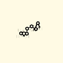 CB1Sc2ccccc2Oc2c1cccc2-c1c(C)ccc(-c2ccc(C)c(-c3cccc4c3Oc3ccccc3C4(C)C)c2C)c1C